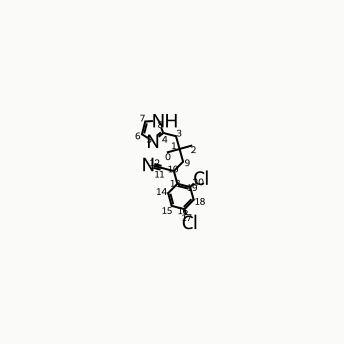 CC(C)(Cc1ncc[nH]1)CC(C#N)c1ccc(Cl)cc1Cl